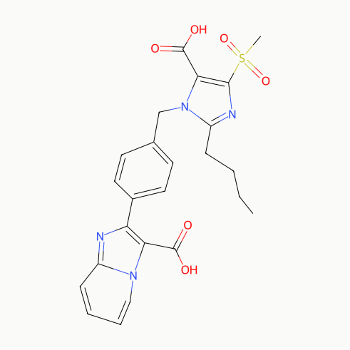 CCCCc1nc(S(C)(=O)=O)c(C(=O)O)n1Cc1ccc(-c2nc3ccccn3c2C(=O)O)cc1